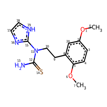 COc1ccc(OC)c(CCN(C(N)=S)c2ncc[nH]2)c1